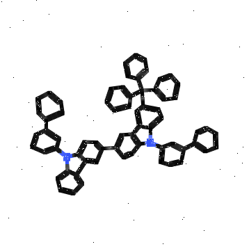 c1ccc(-c2cccc(-n3c4ccccc4c4cc(-c5ccc6c(c5)c5cc(C(c7ccccc7)(c7ccccc7)c7ccccc7)ccc5n6-c5cccc(-c6ccccc6)c5)ccc43)c2)cc1